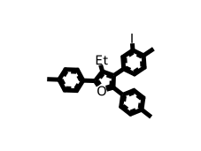 CCc1c(-c2ccc(C)cc2)oc(-c2ccc(C)cc2)c1-c1ccc(C)c(I)c1